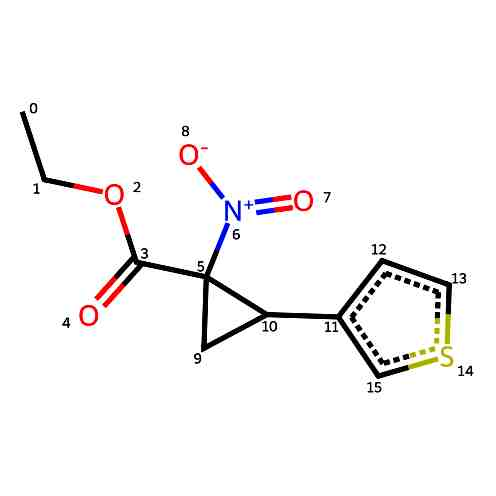 CCOC(=O)C1([N+](=O)[O-])CC1c1ccsc1